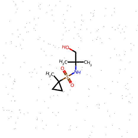 CC(C)(CO)NS(=O)(=O)C1(C)CC1